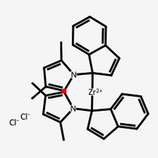 Cc1cc(C)n([C]2([Zr+2][C]3(n4cc(C)cc4C)C=Cc4ccccc43)C=Cc3ccccc32)c1.[Cl-].[Cl-]